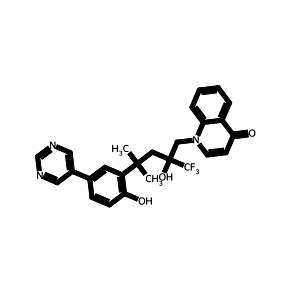 CC(C)(CC(O)(Cn1ccc(=O)c2ccccc21)C(F)(F)F)c1cc(-c2cncnc2)ccc1O